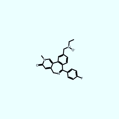 CC[S+]([O-])Cc1ccc2c(c1)-c1cn(C)c(=O)cc1CN=C2c1ccc(F)cc1